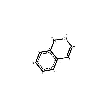 C1=Cc2ccccc2[N]O1